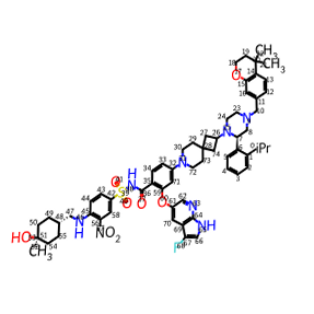 CC(C)c1ccccc1[C@@H]1CN(Cc2ccc3c(c2)OCCC3(C)C)CCN1C1CC2(CCN(c3ccc(C(=O)NS(=O)(=O)c4ccc(NC[C@H]5CC[C@](C)(O)CC5)c([N+](=O)[O-])c4)c(Oc4cnc5[nH]cc(F)c5c4)c3)CC2)C1